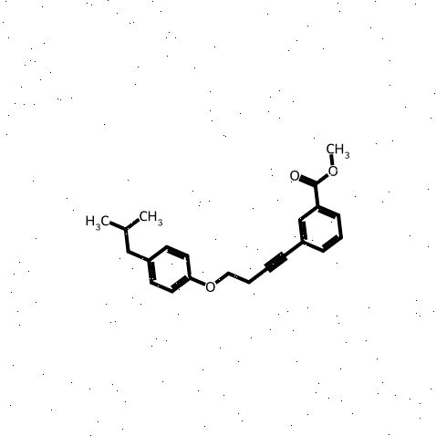 COC(=O)c1cccc(C#CCCOc2ccc(CC(C)C)cc2)c1